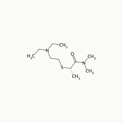 CCN(CC)CCS[C@@H](C)C(=O)N(C)C